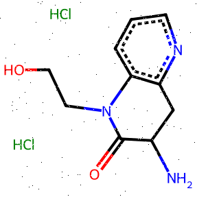 Cl.Cl.NC1Cc2ncccc2N(CCO)C1=O